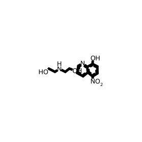 O=[N+]([O-])c1ccc(O)c2ncccc12.OCCNCCO